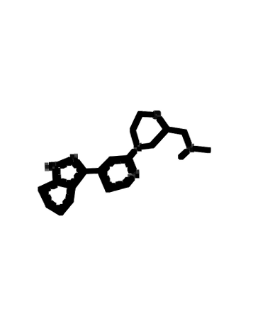 CN(C)CC1CN(c2cc(-c3n[nH]c4ccccc34)ccn2)CCO1